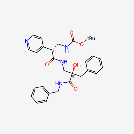 CC(C)(C)OC(=O)NC[C@H](C(=O)NC[C@](O)(Cc1ccccc1)C(=O)NCc1ccccc1)c1ccncc1